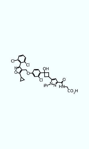 CC(C)n1nc(C(=O)NCC(=O)O)cc1C1CC(O)(c2ccc(OCc3c(-c4c(Cl)cccc4Cl)noc3C3CC3)cc2Cl)C1